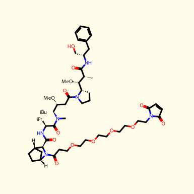 CC[C@H](C)[C@@H]([C@@H](CC(=O)N1CCC[C@H]1[C@H](OC)[C@@H](C)C(=O)N[C@H](CO)Cc1ccccc1)OC)N(C)C(=O)[C@@H](NC(=O)[C@@H]1[C@H]2CC[C@H](C2)N1C(=O)CCOCCOCCOCCOCCN1C(=O)C=CC1=O)C(C)C